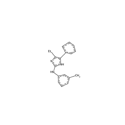 CCc1nc(Nc2cccc(C)c2)[nH]c1-c1ccccc1